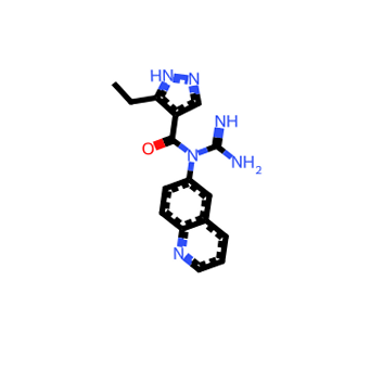 CCc1[nH]ncc1C(=O)N(C(=N)N)c1ccc2ncccc2c1